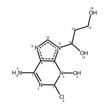 NC1=NC(Cl)N(O)c2c1ncn2C(O)CCO